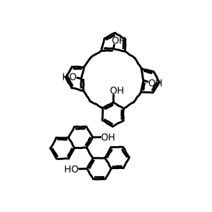 Oc1c2cccc1Cc1cccc(c1O)Cc1cccc(c1O)Cc1cccc(c1O)C2.Oc1ccc2ccccc2c1-c1c(O)ccc2ccccc12